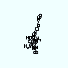 C[C@](c1ccccc1)(C(O)N1CCN(c2ccc(OCCCN3CCOCC3)cc2)CC1)n1ncc2c1nc(N)n1nc(-c3ccco3)nc21